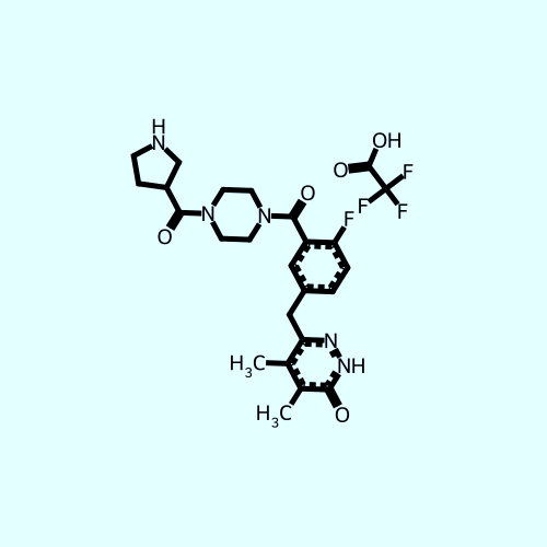 Cc1c(Cc2ccc(F)c(C(=O)N3CCN(C(=O)C4CCNC4)CC3)c2)n[nH]c(=O)c1C.O=C(O)C(F)(F)F